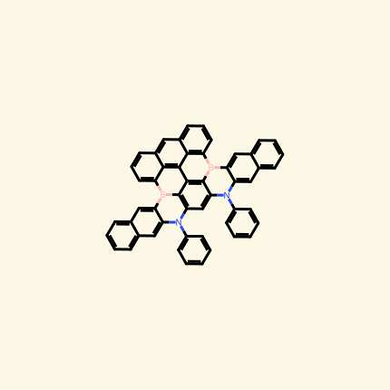 c1ccc(N2c3cc4ccccc4cc3B3c4c2cc2c5c4-c4c6c3cccc6cc3cccc(c43)B5c3cc4ccccc4cc3N2c2ccccc2)cc1